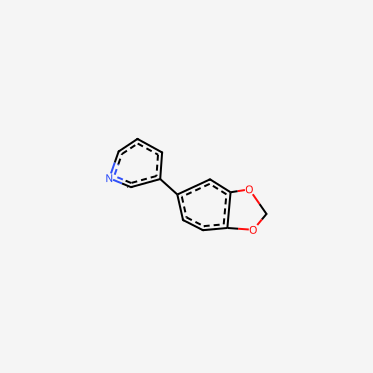 [c]1ncccc1-c1ccc2c(c1)OCO2